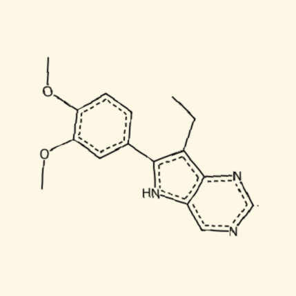 CCc1c(-c2ccc(OC)c(OC)c2)[nH]c2cn[c]nc12